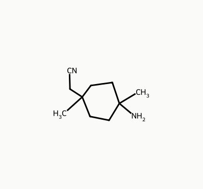 CC1(N)CCC(C)(CC#N)CC1